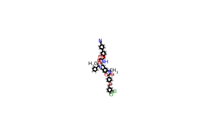 CCC(c1ccccc1)N1Cc2cc3c(cc2C[C@H]1C(=O)NC(Cc1ccc(-c2ccc(C#N)cc2)cc1)C(=O)O)N(C)C(=O)[C@H](c1ccc(OCc2ccc(Cl)c(Cl)c2)cc1)O3